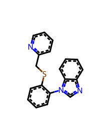 c1ccc(CSc2ccccc2-n2cnc3ccccc32)nc1